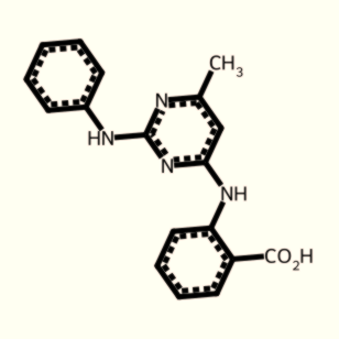 Cc1cc(Nc2ccccc2C(=O)O)nc(Nc2ccccc2)n1